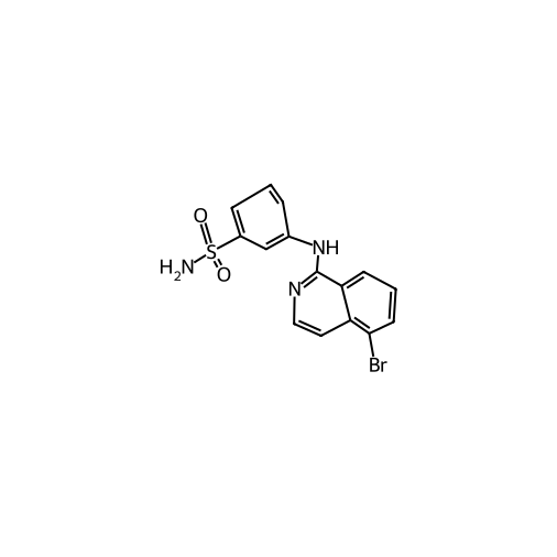 NS(=O)(=O)c1cccc(Nc2nccc3c(Br)cccc23)c1